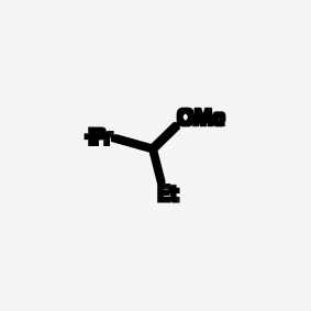 [CH2]CC(OC)[C](C)C